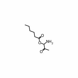 CCCCCC(=O)OC(N)C(C)=O